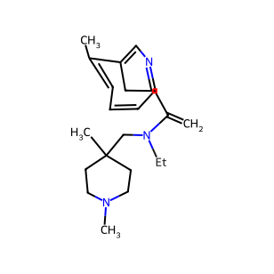 C=C(CCC1=C\N=C/C=C\C=C\1C)N(CC)CC1(C)CCN(C)CC1